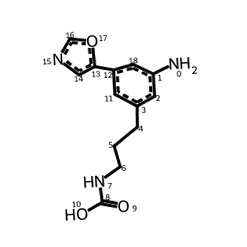 Nc1cc(CCCNC(=O)O)cc(-c2cnco2)c1